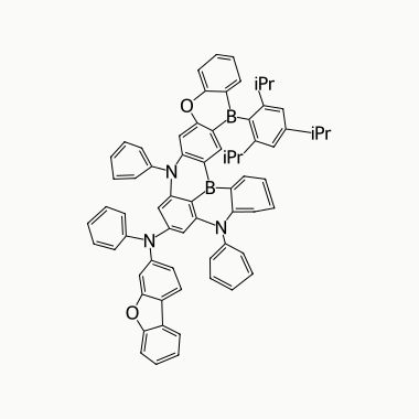 CC(C)c1cc(C(C)C)c(B2c3ccccc3Oc3cc4c(cc32)B2c3ccccc3N(c3ccccc3)c3cc(N(c5ccccc5)c5ccc6c(c5)oc5ccccc56)cc(c32)N4c2ccccc2)c(C(C)C)c1